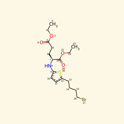 CCOC(=O)CC[C@H](Nc1ccc(CCCCBr)s1)C(=O)OCC